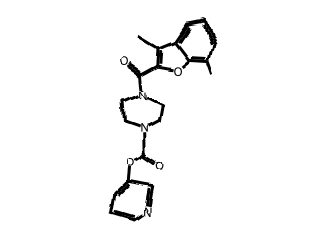 Cc1c(C(=O)N2CCN(C(=O)Oc3cccnc3)CC2)oc2c(C)cccc12